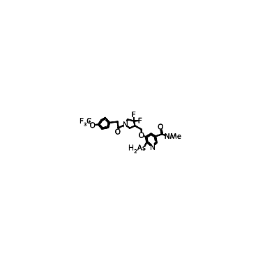 CNC(=O)c1cnc([AsH2])c(OCC2CN(C(=O)Cc3ccc(OC(F)(F)F)cc3)CC2(F)F)c1